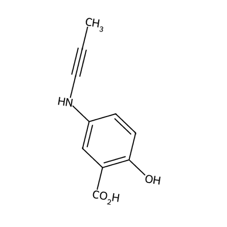 CC#CNc1ccc(O)c(C(=O)O)c1